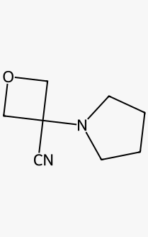 N#CC1(N2CCCC2)COC1